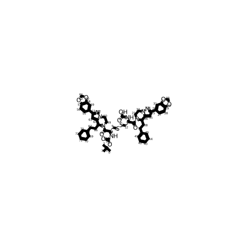 CC(C)(C)OC(=O)N[C@@H](CSSC[C@H](NC(=O)O)C(=O)N1CCn2nc(-c3ccc4c(c3)OCO4)cc2C1CCc1ccccc1)C(=O)N1CCn2nc(-c3ccc4c(c3)OCO4)cc2C1CCc1ccccc1